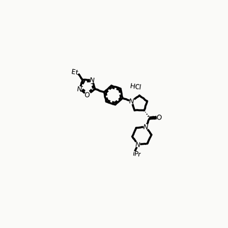 CCc1noc(-c2ccc(N3CC[C@H](C(=O)N4CCN(C(C)C)CC4)C3)cc2)n1.Cl